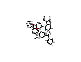 COc1ccc(CN2C3CC2CN(c2ccc(-c4cc(N=C(c5ccccc5)c5ccccc5)cn5nc(F)c(C=O)c45)cn2)C3)cn1